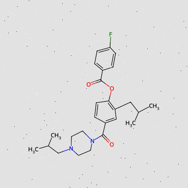 CC(C)Cc1cc(C(=O)N2CCN(CC(C)C)CC2)ccc1OC(=O)c1ccc(F)cc1